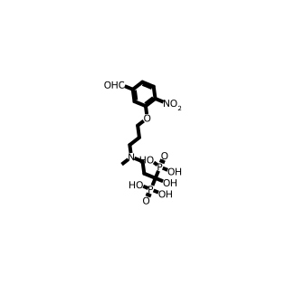 CN(CCCOc1cc(C=O)ccc1[N+](=O)[O-])CCC(O)(P(=O)(O)O)P(=O)(O)O